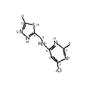 Cc1nc(Cl)cc(NCc2nnc(C)s2)n1